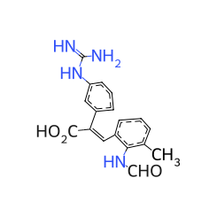 Cc1cccc(C=C(C(=O)O)c2cccc(NC(=N)N)c2)c1NC=O